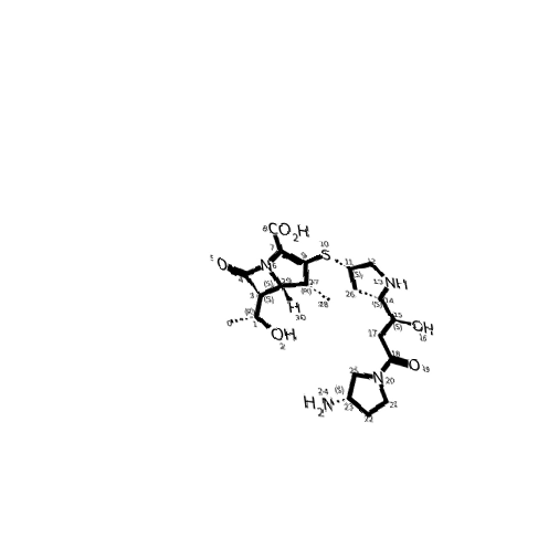 C[C@@H](O)[C@H]1C(=O)N2C(C(=O)O)=C(S[C@@H]3CN[C@H]([C@@H](O)CC(=O)N4CC[C@H](N)C4)C3)[C@H](C)[C@H]12